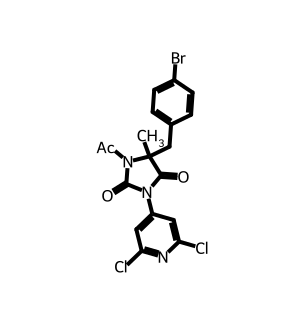 CC(=O)N1C(=O)N(c2cc(Cl)nc(Cl)c2)C(=O)C1(C)Cc1ccc(Br)cc1